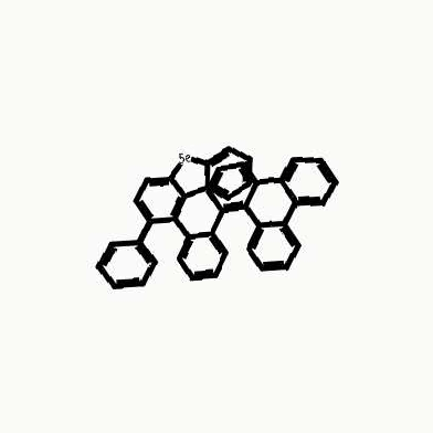 c1ccc(-c2ccc3[se]c4ccccc4c3c2-c2ccccc2-c2cccc3c4ccccc4c4ccccc4c23)cc1